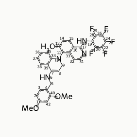 COc1ccc(CNC2=CCN(c3c(C)ccc4c(Nc5c(F)c(F)c(F)c(F)c5F)nccc34)c3ccccc32)c(OC)c1